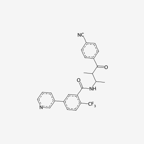 CC(NC(=O)c1cc(-c2cccnc2)ccc1C(F)(F)F)C(C)C(=O)c1ccc(C#N)cc1